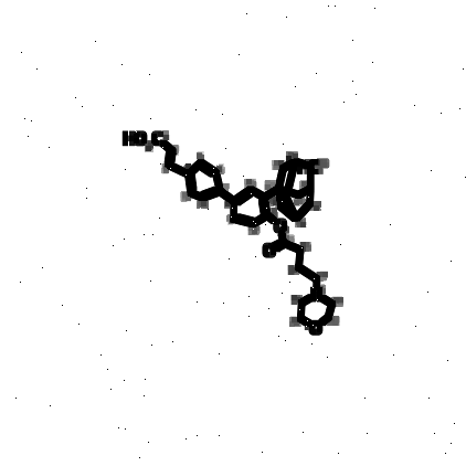 Cl.O=C(O)C=Cc1ccc(-c2ccc(OC(=O)CCCN3CCOCC3)c(C34CC5CC(CC(C5)C3)C4)c2)cc1